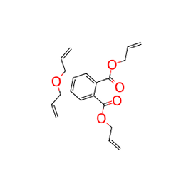 C=CCOC(=O)c1ccccc1C(=O)OCC=C.C=CCOCC=C